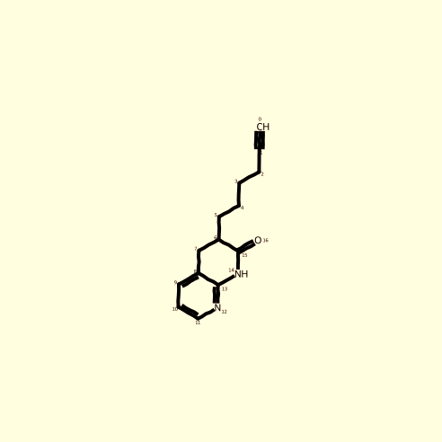 C#CCCCCC1Cc2cccnc2NC1=O